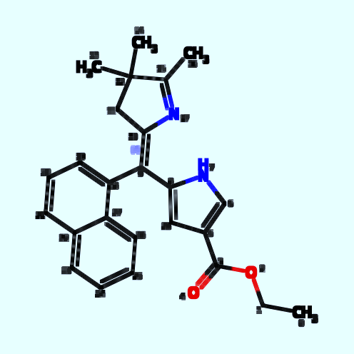 CCOC(=O)c1c[nH]c(/C(=C2/CC(C)(C)C(C)=N2)c2cccc3ccccc23)c1